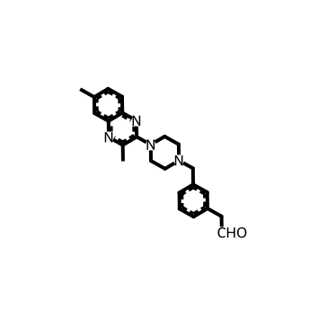 Cc1ccc2nc(N3CCN(Cc4cccc(CC=O)c4)CC3)c(C)nc2c1